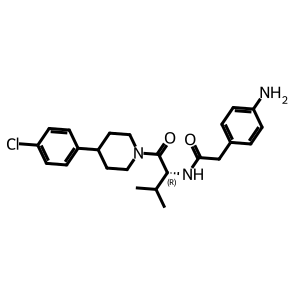 CC(C)[C@@H](NC(=O)Cc1ccc(N)cc1)C(=O)N1CCC(c2ccc(Cl)cc2)CC1